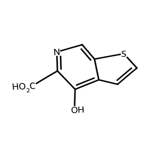 O=C(O)c1ncc2sccc2c1O